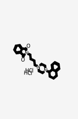 Cl.Cl.O=C1c2ccccc2C(=O)N1CCCCN1CCN(C2CCCc3ccccc32)CC1